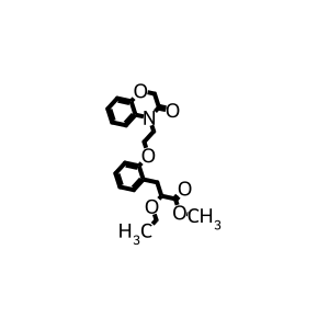 CCOC(Cc1ccccc1OCCN1C(=O)COc2ccccc21)C(=O)OC